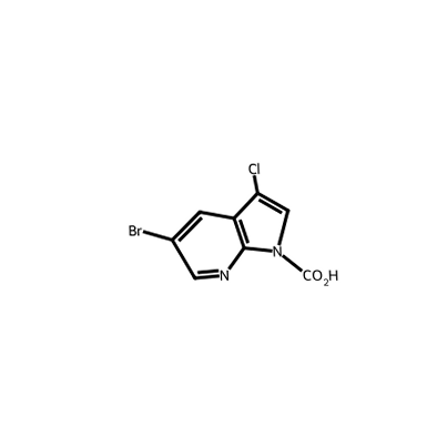 O=C(O)n1cc(Cl)c2cc(Br)cnc21